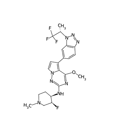 COc1nc(N[C@@H]2CCN(C)C[C@@H]2F)nn2ccc(-c3ccc4nnn([C@@H](C)C(F)(F)F)c4c3)c12